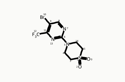 O=S1(=O)CCN(c2ncc(Br)c(C(F)(F)F)n2)CC1